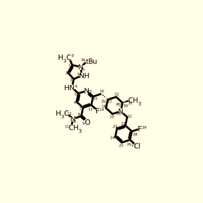 CC1=CC(Nc2cc(C(=O)N(C)C)c(F)c(C[C@H]3CCN(Cc4cccc(Cl)c4F)[C@H](C)C3)n2)NN1C(C)(C)C